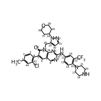 Cc1ccc(-c2cc3cnc(Nc4ccc(N5CCNCC5)c(C(F)(F)F)c4)nc3n(Cc3ccnn3C3CCOCC3)c2=O)c(Cl)c1